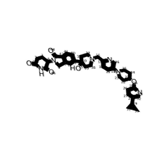 O=C1CCC(N2Cc3cc(C4(O)CCN(Cc5ccc(N6CCC(Oc7ccc(C8CC8)cn7)CC6)cn5)CC4)ccc3C2=O)C(=O)N1